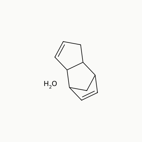 C1=CC2C3C=CC(C3)C2C1.O